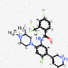 C[C@H]1CN(c2cc(F)c(C3=CCCNC3)cc2NC(=O)c2ccc(F)cc2C(F)(F)F)CCN1C